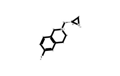 Fc1ccc2c(c1)CCN(C[C@@H]1CO1)C2